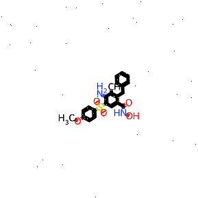 COc1ccc(S(=O)(=O)c2cc(C(=O)NO)c(Cc3ccccc3)c(C)c2N)cc1